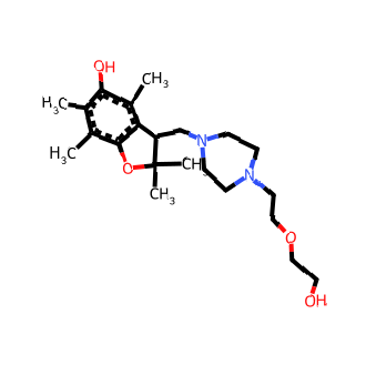 Cc1c(C)c2c(c(C)c1O)C(CN1CCN(CCOCCO)CC1)C(C)(C)O2